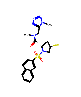 CN(Cc1nnnn1C)C(=O)[C@@H]1C[C@@H](S)CN1S(=O)(=O)c1ccc2ccccc2c1